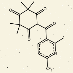 Cc1nc(C(F)(F)F)ccc1C(=O)C1C(=O)C(C)(C)C(=O)C(C)(C)C1=O